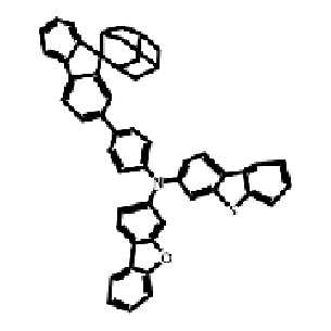 c1ccc2c(c1)-c1ccc(-c3ccc(N(c4ccc5c(c4)oc4ccccc45)c4ccc5c(c4)sc4ccccc45)cc3)cc1C21C2CC3CC(C2)CC1C3